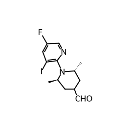 C[C@@H]1CC(C=O)C[C@@H](C)N1c1ncc(F)cc1I